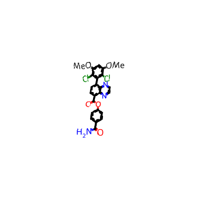 COc1cc(OC)c(Cl)c(-c2ccc(C(=O)Oc3ccc(C(N)=O)cc3)c3nccnc23)c1Cl